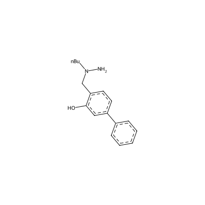 CCCCN(N)Cc1ccc(-c2ccccc2)cc1O